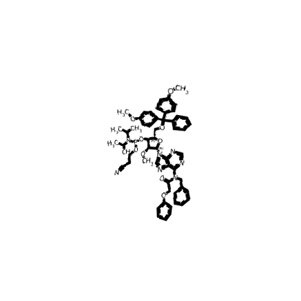 COc1ccc(C(OC[C@H]2O[C@@H](n3cnc4c(N(Cc5ccccc5)C(=O)COc5ccccc5)ncnc43)C(OC)C2OP(OCCC#N)N(C(C)C)C(C)C)(c2ccccc2)c2ccc(OC)cc2)cc1